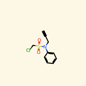 C#CCN(c1ccccc1)S(=O)(=O)CCl